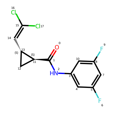 O=C(Nc1cc(F)cc(F)c1)[C@H]1C[C@@H]1C=C(Cl)Cl